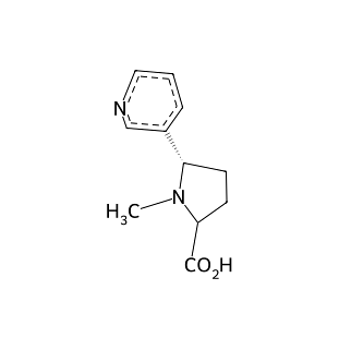 CN1C(C(=O)O)CC[C@H]1c1cccnc1